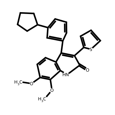 COc1ccc2c(-c3cccc(C4CCCC4)c3)c(-c3cccs3)c(=O)[nH]c2c1OC